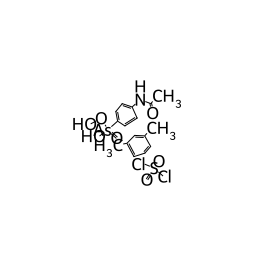 CC(=O)Nc1ccc([As](=O)(O)OO)cc1.Cc1cccc(C)c1.O=S(=O)(Cl)Cl